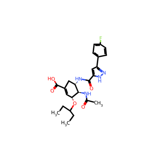 CCC(CC)O[C@@H]1C=C(C(=O)O)C[C@H](NC(=O)c2cc(-c3ccc(F)cc3)n[nH]2)[C@H]1NC(C)=O